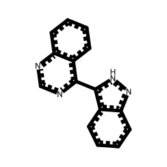 c1ccc2c(-c3[nH]nc4ccccc34)ncnc2c1